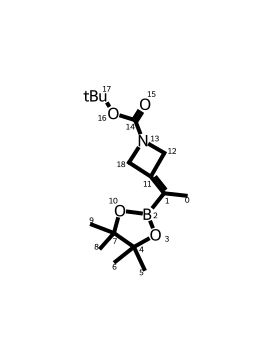 CC(B1OC(C)(C)C(C)(C)O1)=C1CN(C(=O)OC(C)(C)C)C1